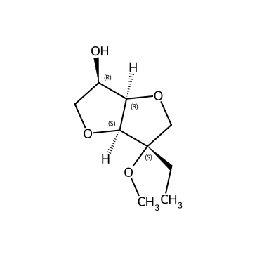 CC[C@]1(OC)CO[C@@H]2[C@H](O)CO[C@@H]21